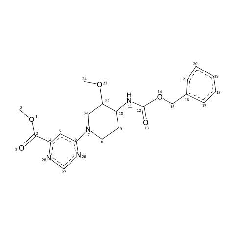 COC(=O)c1cc(N2CCC(NC(=O)OCc3ccccc3)C(OC)C2)ncn1